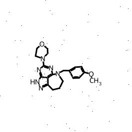 COc1ccc(CN2CCCc3n[nH]c4nc(N5CCOCC5)nc2c34)cc1